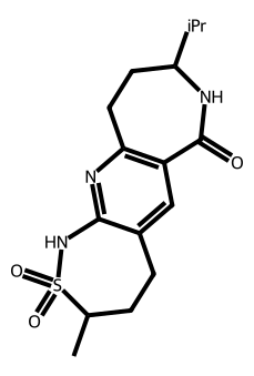 CC(C)C1CCc2nc3c(cc2C(=O)N1)CCC(C)S(=O)(=O)N3